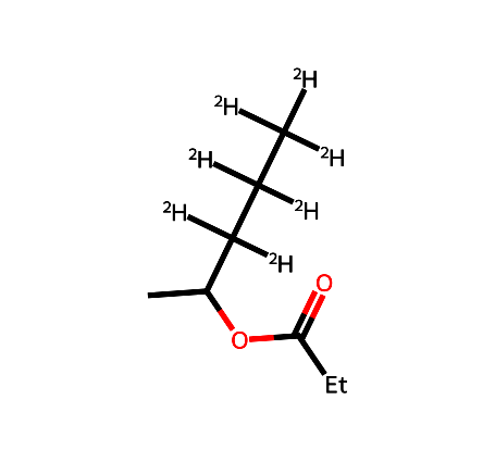 [2H]C([2H])([2H])C([2H])([2H])C([2H])([2H])C(C)OC(=O)CC